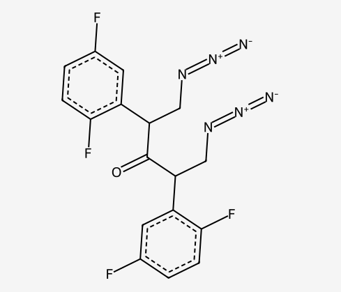 [N-]=[N+]=NCC(C(=O)C(CN=[N+]=[N-])c1cc(F)ccc1F)c1cc(F)ccc1F